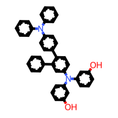 Oc1cccc(N(c2cccc(O)c2)c2ccc(-c3ccc(N(c4ccccc4)c4ccccc4)cc3)c(-c3ccccc3)c2)c1